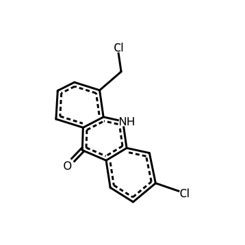 O=c1c2ccc(Cl)cc2[nH]c2c(CCl)cccc12